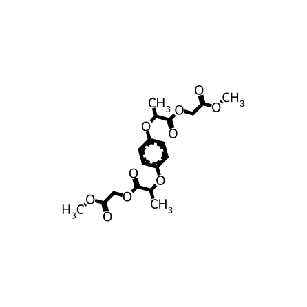 COC(=O)COC(=O)C(C)Oc1ccc(OC(C)C(=O)OCC(=O)OC)cc1